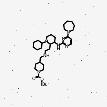 CC(C)(C)OC(=O)N1CCC(CNCCC2C(Nc3nccc(N4CCCCCC4)n3)CCCN2C2CCCCC2)CC1